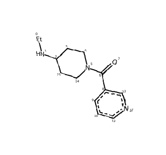 CCNC1CCN(C(=O)c2cccnc2)CC1